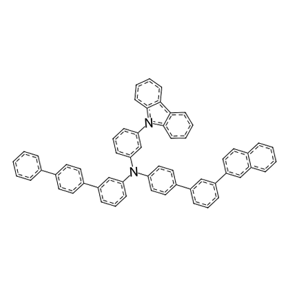 c1ccc(-c2ccc(-c3cccc(N(c4ccc(-c5cccc(-c6ccc7ccccc7c6)c5)cc4)c4cccc(-n5c6ccccc6c6ccccc65)c4)c3)cc2)cc1